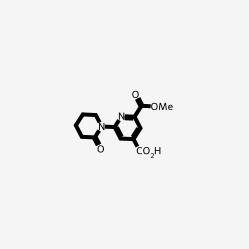 COC(=O)c1cc(C(=O)O)cc(N2CCCCC2=O)n1